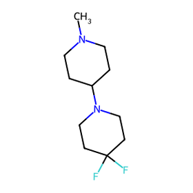 CN1CCC(N2CCC(F)(F)CC2)CC1